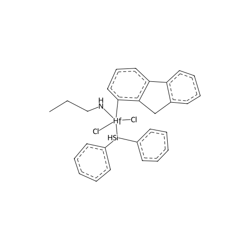 CCC[NH][Hf]([Cl])([Cl])([c]1cccc2c1Cc1ccccc1-2)[SiH](c1ccccc1)c1ccccc1